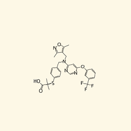 Cc1noc(C)c1CN(Cc1ccc(SC(C)(C)C(=O)O)cc1)c1cc(Oc2cccc(C(F)(F)F)c2)ncn1